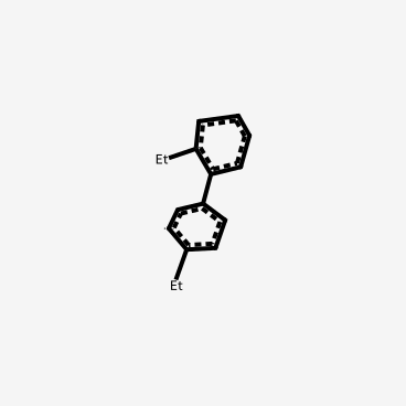 CCc1[c]cc(-c2ccccc2CC)cc1